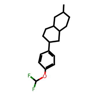 CC1CCC2CC(c3ccc(OC(F)F)cc3)CCC2C1